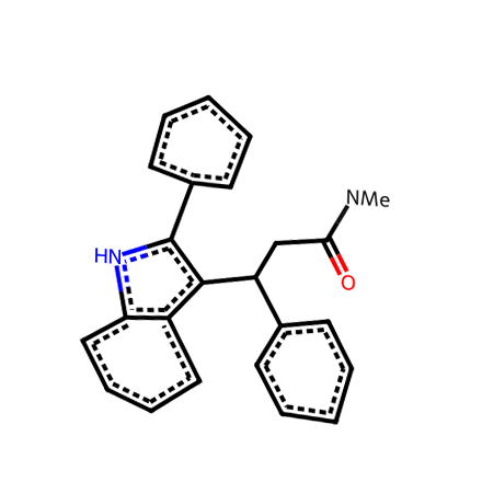 CNC(=O)CC(c1ccccc1)c1c(-c2ccccc2)[nH]c2ccccc12